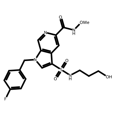 CONC(=O)c1cc2c(S(=O)(=O)NCCCO)cn(Cc3ccc(F)cc3)c2cn1